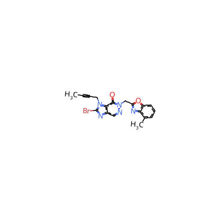 CC#CCn1c(Br)nc2cnn(Cc3nc4c(C)cccc4o3)c(=O)c21